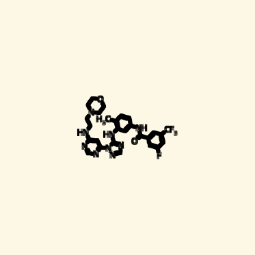 Cc1ccc(NC(=O)c2cc(F)cc(C(F)(F)F)c2)cc1Nc1ncnn1-c1cc(NCCN2CCOCC2)ncn1